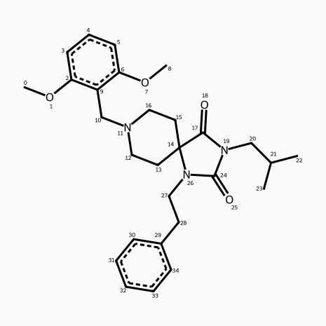 COc1cccc(OC)c1CN1CCC2(CC1)C(=O)N(CC(C)C)C(=O)N2CCc1ccccc1